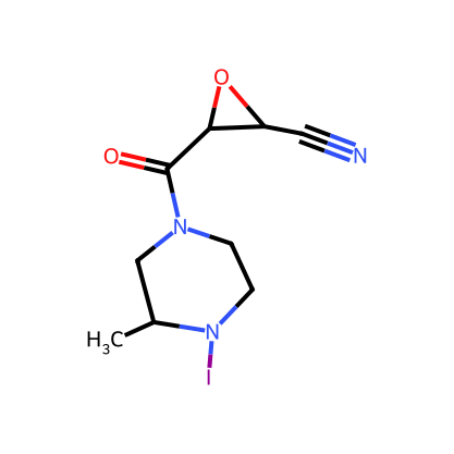 CC1CN(C(=O)C2OC2C#N)CCN1I